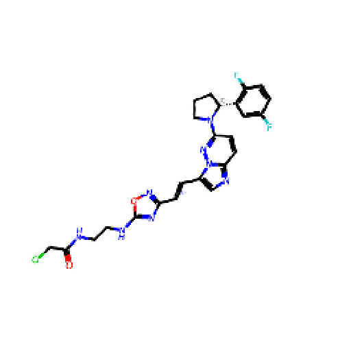 O=C(CCl)NCCNc1nc(/C=C/c2cnc3ccc(N4CCC[C@@H]4c4cc(F)ccc4F)nn23)no1